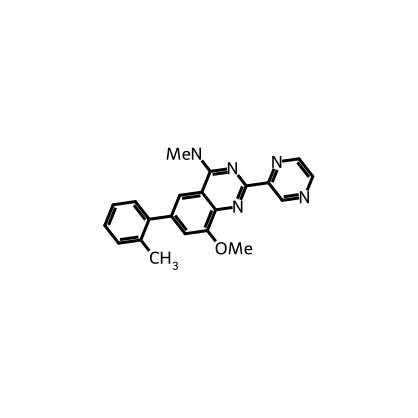 CNc1nc(-c2cnccn2)nc2c(OC)cc(-c3ccccc3C)cc12